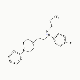 Fc1ccc(/C(CCN2CCN(c3ccccn3)CC2)=N\OCC(F)(F)F)cc1